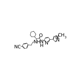 Cn1cc(-c2ccc(NC(=O)[C@@H](NCCc3ccc(C#N)cc3)C3CCCCC3)nc2)cn1